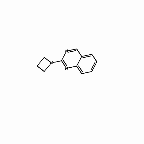 c1ccc2nc(N3CCC3)ncc2c1